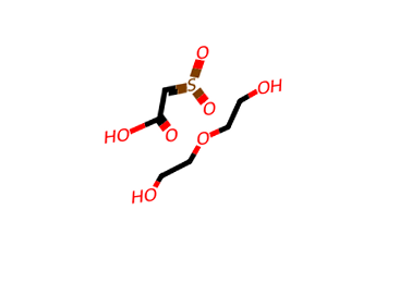 O=C(O)C=S(=O)=O.OCCOCCO